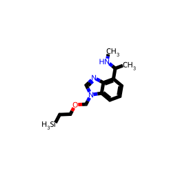 CNC(C)c1cccc2c1ncn2COCC[SiH3]